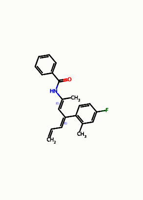 C=C/C=C(\C=C(/C)NC(=O)c1ccccc1)c1ccc(F)cc1C